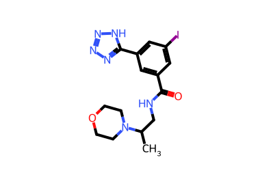 CC(CNC(=O)c1cc(I)cc(-c2nnn[nH]2)c1)N1CCOCC1